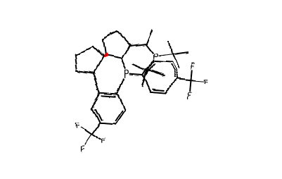 CC(C1CCCC1P(c1ccc(C(F)(F)F)cc1)c1ccc(C(F)(F)F)cc1C1CCCC1)P(C(C)(C)C)C(C)(C)C